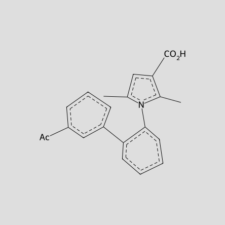 CC(=O)c1cccc(-c2ccccc2-n2c(C)cc(C(=O)O)c2C)c1